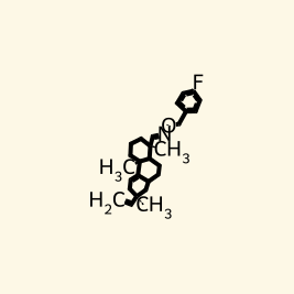 C=C[C@@]1(C)CC=C2C(CCC3[C@@]2(C)CCC[C@@]3(C)/C=N/OCc2ccc(F)cc2)C1